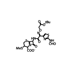 CSC1CSC2=[N+](C(=O)C2NC(=O)C(=NOCC(=O)OC(C)(C)C)c2csc(NC=O)n2)C1C(=O)[O-]